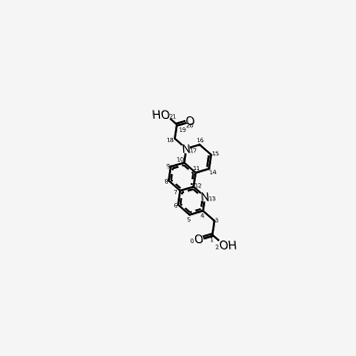 O=C(O)Cc1ccc2ccc3c(c2n1)C=CCN3CC(=O)O